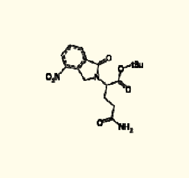 CC(C)(C)OC(=O)C(CCC(N)=O)N1Cc2c(cccc2[N+](=O)[O-])C1=O